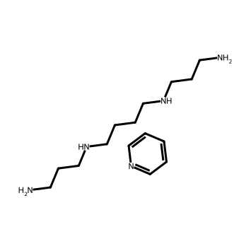 NCCCNCCCCNCCCN.c1ccncc1